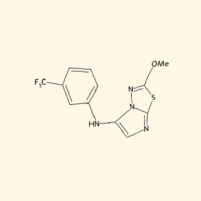 COc1nn2c(Nc3cccc(C(F)(F)F)c3)cnc2s1